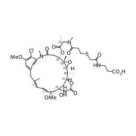 COc1cc2cc(c1Cl)N(C)C(=O)C[C@H](OC(=O)[C@H](C)N(C)C(=O)CCSCC(=O)NCCC(=O)O)[C@]1(C)O[C@H]1[C@H](C)[C@@H]1C[C@@](O)(NC(=O)O1)[C@H](OC)/C=C/C=C(\C)C2